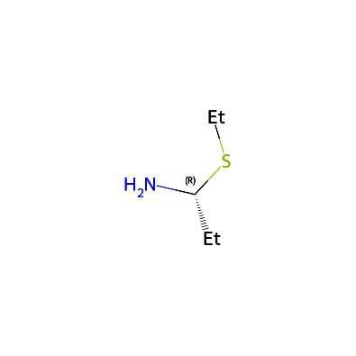 CCS[C@@H](N)CC